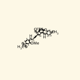 COc1cc(S(C)(=O)=O)ccc1NCC#Cc1cc2c(N[C@H]3CCN(C)C[C@H]3OC)cccc2n1CC(F)(F)F